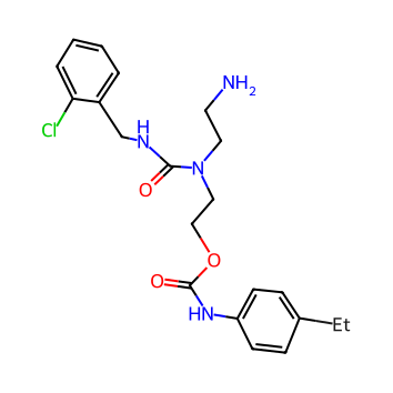 CCc1ccc(NC(=O)OCCN(CCN)C(=O)NCc2ccccc2Cl)cc1